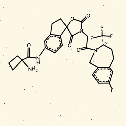 NC1(C(=O)Nc2ccc3c(c2)CCC32OC(=O)N(CC(=O)N3Cc4ccc(F)cc4CC[C@H]3C(F)(F)F)C2=O)CCC1